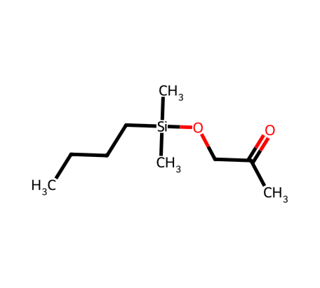 CCCC[Si](C)(C)OCC(C)=O